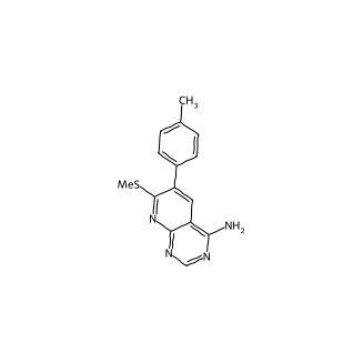 CSc1nc2ncnc(N)c2cc1-c1ccc(C)cc1